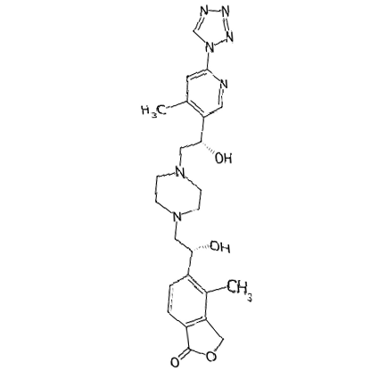 Cc1cc(-n2cnnn2)ncc1[C@H](O)CN1CCN(C[C@H](O)c2ccc3c(c2C)COC3=O)CC1